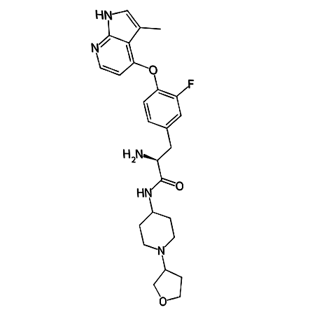 Cc1c[nH]c2nccc(Oc3ccc(C[C@H](N)C(=O)NC4CCN(C5CCOC5)CC4)cc3F)c12